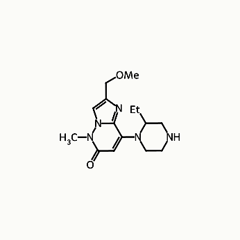 CCC1CNCCN1c1cc(=O)n(C)n2cc(COC)nc12